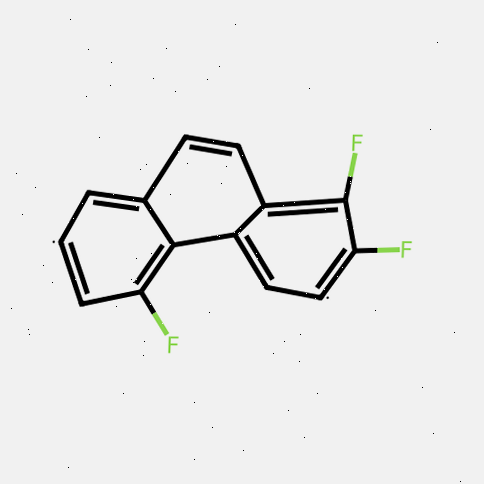 Fc1[c]cc2c(ccc3c[c]cc(F)c32)c1F